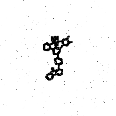 Cc1cc(C)c(-c2nnc3c4ccccc4c4cc(-c5ccc(-c6cccc7c6sc6ccccc67)cc5)ccc4n23)cc1C